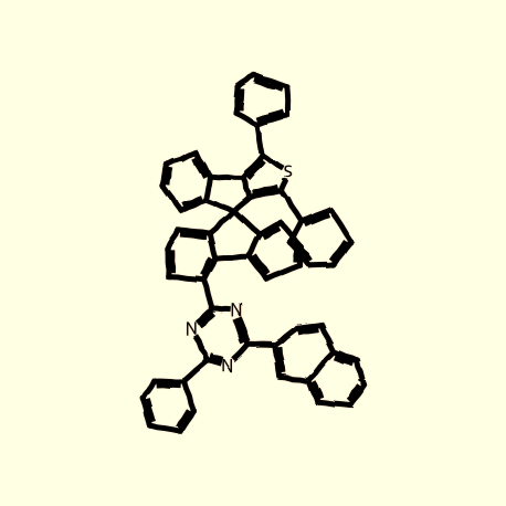 c1ccc(-c2nc(-c3ccc4ccccc4c3)nc(-c3cccc4c3-c3ccccc3C43c4ccccc4-c4c(-c5ccccc5)sc(-c5ccccc5)c43)n2)cc1